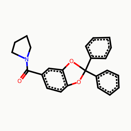 O=C(c1ccc2c(c1)OC(c1ccccc1)(c1ccccc1)O2)N1CCCC1